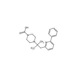 CC(C)(Cc1cccc(-c2ccccc2)n1)N1CCN(C(=O)O)CC1